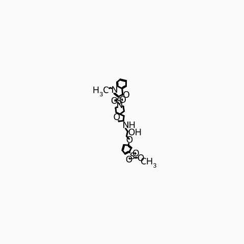 CCn1cc(S(=O)(=O)N2CCC3(CC2)C[C@@H](NCC(O)COc2cccc(S(=O)(=O)COC)c2)CO3)c(=O)c2ccccc21